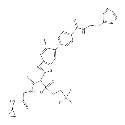 O=C(CNC(=O)C(c1nc2cc(F)c(-c3ccc(C(=O)NCCc4ccccc4)cc3)cc2s1)S(=O)(=O)CCC(F)(F)F)NC1CC1